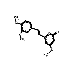 COc1cc(C=Cc2ccc(OC)c(OC)c2)oc(=O)c1